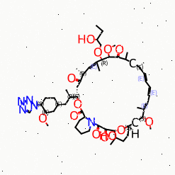 CCC(O)CO[C@@H]1/C(C)=C/[C@@H](C)C(=O)C[C@@H]([C@H](C)C[C@@H]2CC[C@H](n3cnnn3)[C@H](OC)C2)OC(=O)C2CCCCN2C(=O)C(=O)C2(O)O[C@@H](CCC2C)C[C@H](OC)/C(C)=C/C=C/C=C/[C@@H](C)CC(C)C(=O)C1OC